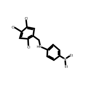 CCN(CC)c1ccc(NCc2cc(Cl)c(Cl)cc2Cl)cc1